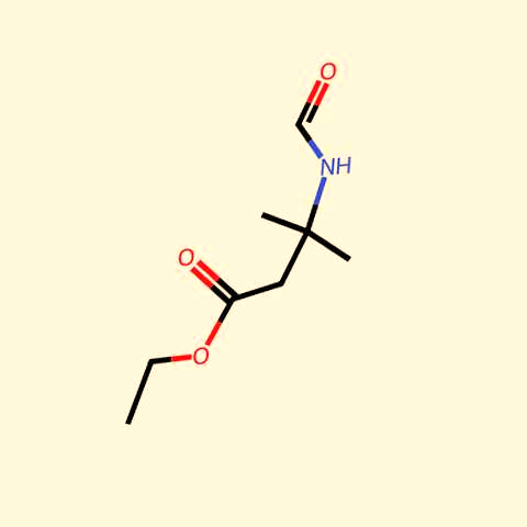 CCOC(=O)CC(C)(C)NC=O